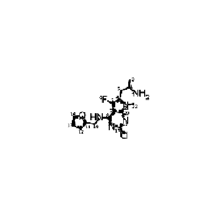 CC(N)Cc1c(F)c2c(NCc3ccco3)nc(Cl)nc2n1C